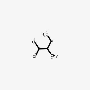 [CH2]C(CC)C(Cl)Cl